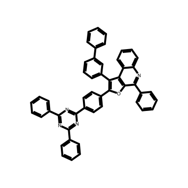 c1ccc(-c2cccc(-c3c(-c4ccc(-c5nc(-c6ccccc6)nc(-c6ccccc6)n5)cc4)oc4c(-c5ccccc5)nc5ccccc5c34)c2)cc1